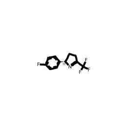 Fc1ccc([C@@H]2CCC(C(F)(F)F)=N2)cc1